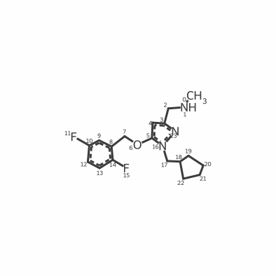 CNCc1cc(OCc2cc(F)ccc2F)n(CC2CCCC2)n1